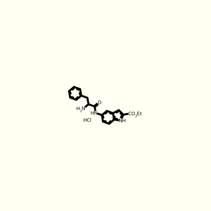 CCOC(=O)c1cc2cc(NC(=O)C(N)Cc3ccccc3)ccc2[nH]1.Cl